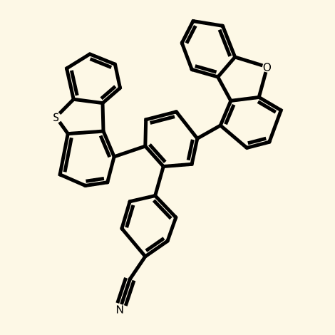 N#Cc1ccc(-c2cc(-c3cccc4oc5ccccc5c34)ccc2-c2cccc3sc4ccccc4c23)cc1